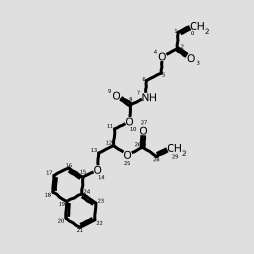 C=CC(=O)OCCNC(=O)OCC(COc1cccc2ccccc12)OC(=O)C=C